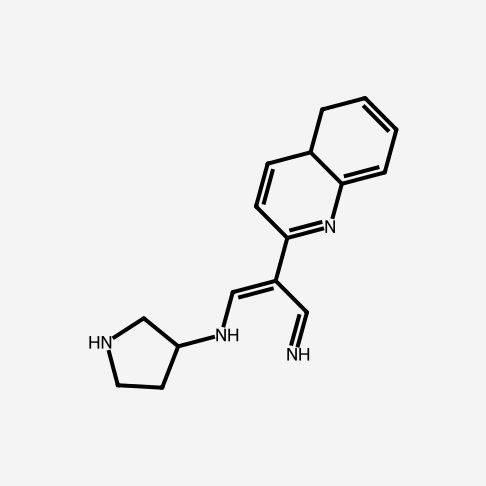 N=C/C(=C\NC1CCNC1)C1=NC2=CC=CCC2C=C1